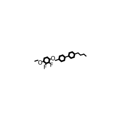 CCCCc1ccc(-c2ccc(COc3ccc(OCC)c(F)c3F)cc2)cc1